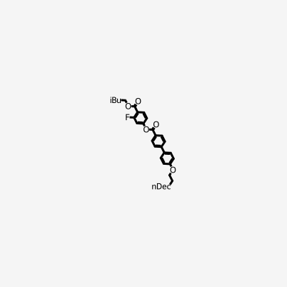 CCCCCCCCCCCCOc1ccc(-c2ccc(C(=O)Oc3ccc(C(=O)OCC(C)CC)c(F)c3)cc2)cc1